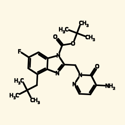 CC(C)(C)Cc1cc(F)cc2c1nc(Cn1nccc(N)c1=O)n2C(=O)OC(C)(C)C